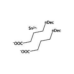 CCCCCCCCCCCCCC(=O)[O-].CCCCCCCCCCCCCC(=O)[O-].[Sn+2]